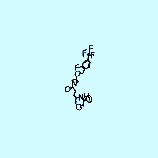 O=C1COCC(CCC(=O)N2CC(OCc3ccc(C(F)(F)F)cc3F)C2)N1